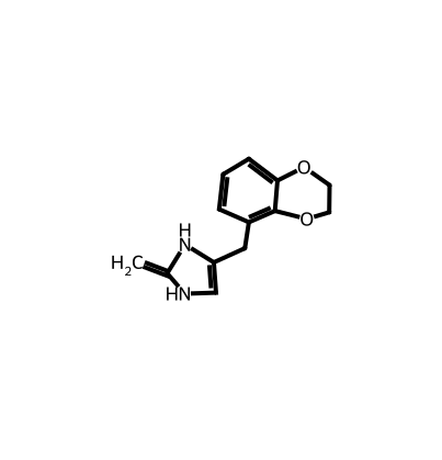 C=C1NC=C(Cc2cccc3c2OCCO3)N1